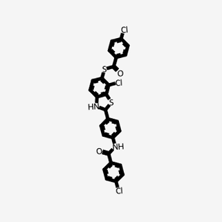 O=C(Nc1ccc(C2Nc3ccc(SC(=O)c4ccc(Cl)cc4)c(Cl)c3S2)cc1)c1ccc(Cl)cc1